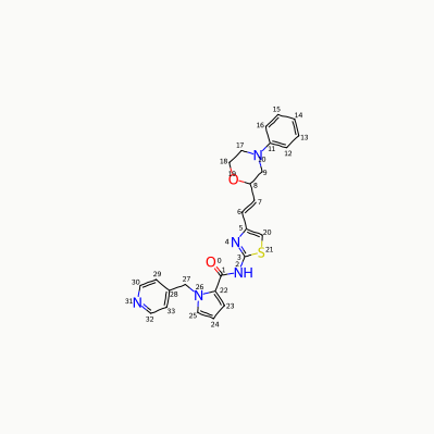 O=C(Nc1nc(C=CC2CN(c3ccccc3)CCO2)cs1)c1cccn1Cc1ccncc1